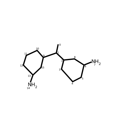 CC(C1CCCC(N)C1)C1CCCC(N)C1